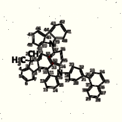 CC1(C)c2ccccc2-c2c(-c3ccccc3N(c3ccc(-c4cccc5ccccc45)cc3)c3ccc(-n4c5ccccc5c5ccccc54)cc3)cccc21